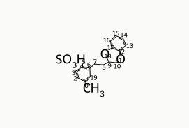 Cc1ccc(S(=O)(=O)O)c(CCC2COc3ccccc3O2)c1